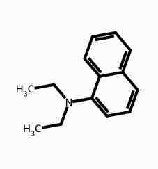 CCN(CC)c1cc[c]c2ccccc12